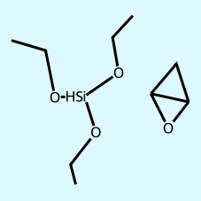 C1C2OC12.CCO[SiH](OCC)OCC